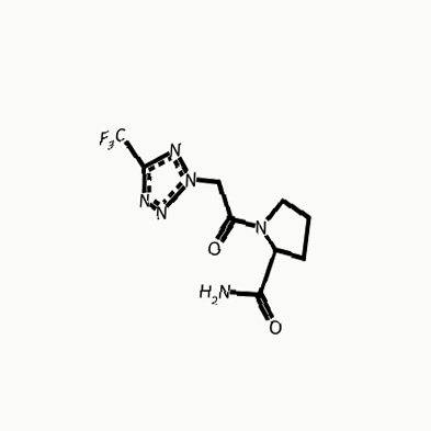 NC(=O)C1CCCN1C(=O)Cn1nnc(C(F)(F)F)n1